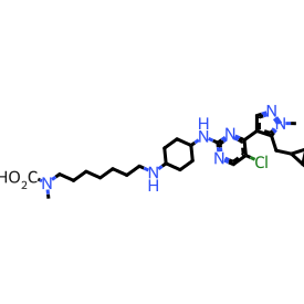 CN(CCCCCCCNC1CCC(Nc2ncc(Cl)c(-c3cnn(C)c3CC3CC3)n2)CC1)C(=O)O